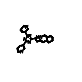 c1cncc(-c2nc(-c3cccnc3)nc(-c3cc4cc5ccccc5cn4n3)n2)c1